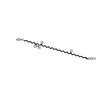 CCCCCCCCC=CCCCCCCCC(=O)CCCCCCCCCCCCCCCC(=O)NC[C@@H](O)CCCCCCCCCCCCCCCC